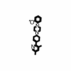 COc1ccccc1N1CCN(C2CC=C(c3ncc(C)cc3C)CC2)CC1